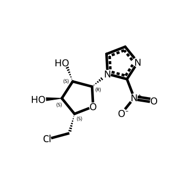 O=[N+]([O-])c1nccn1[C@@H]1O[C@H](CCl)[C@@H](O)[C@@H]1O